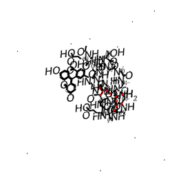 CC(=O)N[C@@H](CCC(=O)O)C(=O)N[C@@H](Cc1c[nH]cn1)C(=O)N[C@H](C(=O)N[C@H](C)C(=O)N[C@H](C)C(=O)N[C@H](C)C(=O)N[C@H](CSC1CC(=O)N(CCNC(=O)c2ccc(C(=O)O)c(-c3c4ccc(=O)cc-4oc4cc(O)ccc34)c2)C1=O)C(=O)N[C@H](C)C(=O)N[C@H](C)C(=O)N[C@H](C)C(=O)N[C@@H](CCC(=O)O)C(=O)N[C@@H](Cc1c[nH]cn1)C(=O)N[C@H](C(N)=O)[C@@H](C)O)[C@@H](C)O